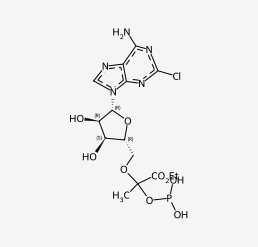 CCOC(=O)C(C)(OC[C@H]1O[C@@H](n2cnc3c(N)nc(Cl)nc32)[C@H](O)[C@@H]1O)OP(O)O